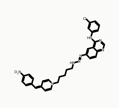 O=[N+]([O-])c1ccc(C=C2C=CN(CCCCCN/N=N/c3ccc4ncnc(Nc5cccc(Cl)c5)c4c3)C=C2)cc1